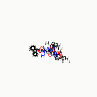 CCOC(=O)c1nc(NC(=O)[C@@H](CCNC(=O)OCC2c3ccccc3-c3ccccc32)NC(=O)OC(C)(C)C)cn1C